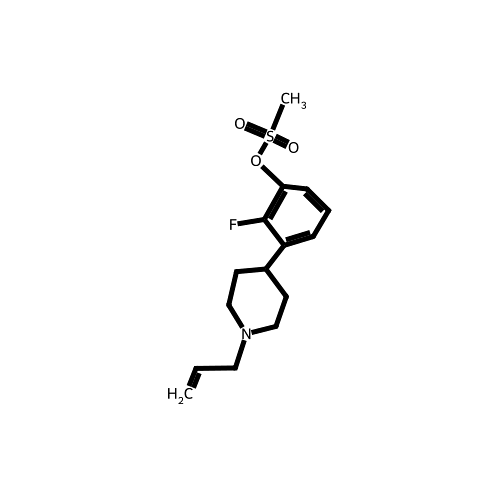 C=CCN1CCC(c2cccc(OS(C)(=O)=O)c2F)CC1